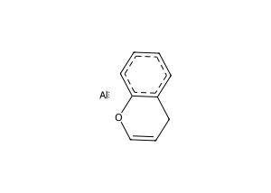 C1=COc2ccccc2C1.[Al]